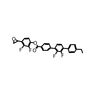 CCc1ccc(-c2ccc(-c3ccc(C(=O)Oc4ccc(C5CO5)c(F)c4F)cc3)c(F)c2F)cc1